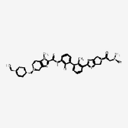 Cc1c(-c2nc3c(s2)CN(C(=O)CN(C)C(C)C)C3)cccc1-c1cccc(NC(=O)c2nc3c(n2C)CCN(C[C@H]2CC[C@H](CO)CC2)C3)c1Cl